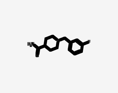 NC(=O)C1CCN(Cc2cccc(F)c2)CC1